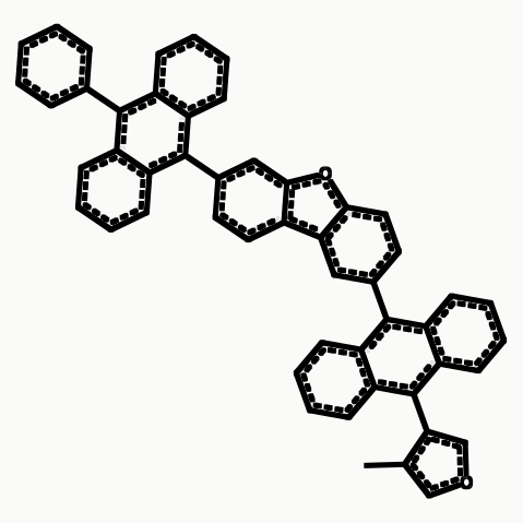 Cc1cocc1-c1c2ccccc2c(-c2ccc3oc4cc(-c5c6ccccc6c(-c6ccccc6)c6ccccc56)ccc4c3c2)c2ccccc12